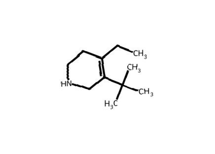 CCC1=C(C(C)(C)C)CNCC1